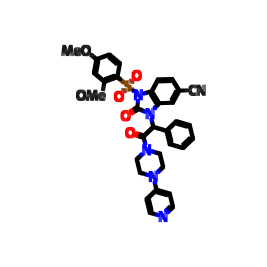 COc1ccc(S(=O)(=O)n2c(=O)n(C(C(=O)N3CCN(c4ccncc4)CC3)c3ccccc3)c3cc(C#N)ccc32)c(OC)c1